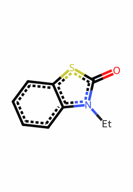 CCn1c(=O)sc2ccccc21